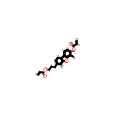 C=CC(=O)OCCCc1ccc2c(oc3c(C)c(OC(=O)C=C)ccc32)c1F